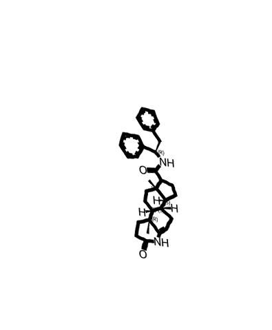 C[C@]12CCC(=O)NC1=CC[C@@H]1[C@H]2CC[C@]2(C)C(C(=O)N[C@H](Cc3ccccc3)c3ccccc3)CC[C@@H]12